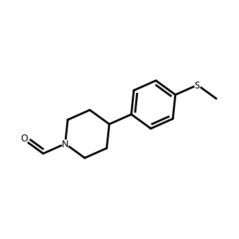 CSc1ccc(C2CCN(C=O)CC2)cc1